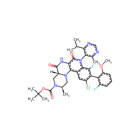 COc1cccc(F)c1-c1c(Cl)cc2c3c(c(=O)n(-c4c(C)ncnc4C(C)C)c2c1F)NC(=O)[C@H]1CN(C(=O)OC(C)(C)C)[C@H](C)CN31